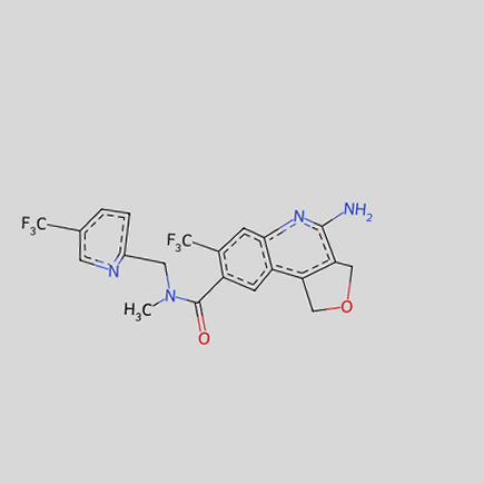 CN(Cc1ccc(C(F)(F)F)cn1)C(=O)c1cc2c3c(c(N)nc2cc1C(F)(F)F)COC3